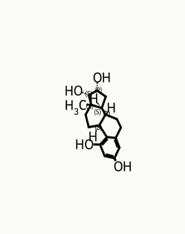 C[C@]12CC[C@@H]3c4c(O)cc(O)cc4CC[C@@H]3[C@@H]1C[C@@H](O)[C@H]2O